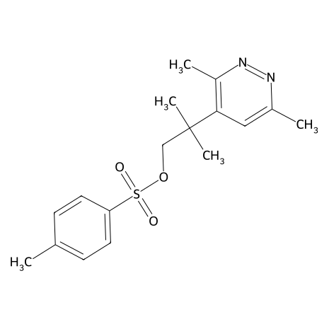 Cc1ccc(S(=O)(=O)OCC(C)(C)c2cc(C)nnc2C)cc1